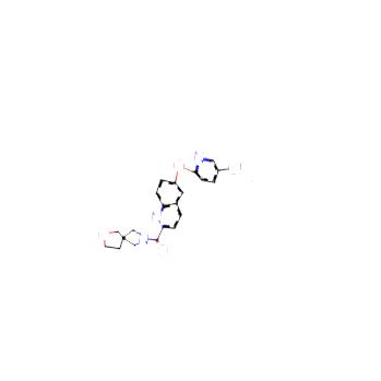 O=C(c1ccc2cc(Oc3ccc(C(F)(F)F)cn3)ccc2n1)N1CC2(CCOC2)C1